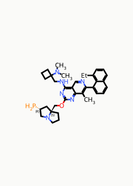 CCc1cccc2cccc(-c3ncc4c(NCC5(N(C)C)CCC5)nc(OC[C@@]56CCCN5C[C@H](P)C6)nc4c3C)c12